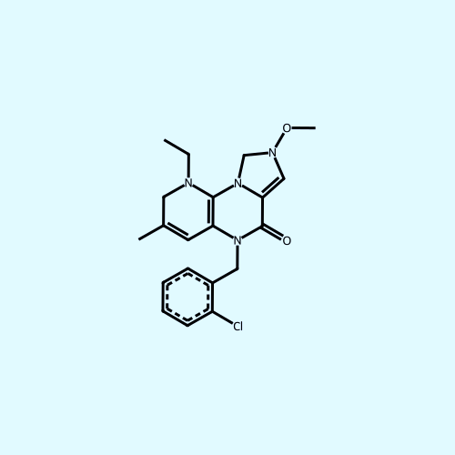 CCN1CC(C)=CC2=C1N1CN(OC)C=C1C(=O)N2Cc1ccccc1Cl